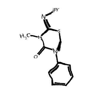 CC(C)/N=C1\SCN(c2ccccc2)C(=O)N1C